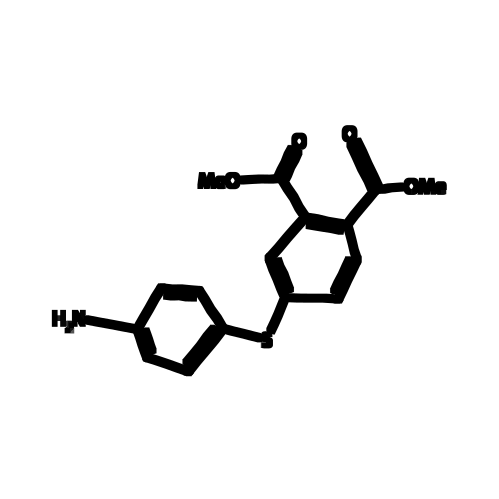 COC(=O)c1ccc(Sc2ccc(N)cc2)cc1C(=O)OC